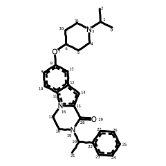 CC(C)N1CCC(Oc2ccc3c(c2)cc2n3CCN(C(C)c3ccccc3)C2=O)CC1